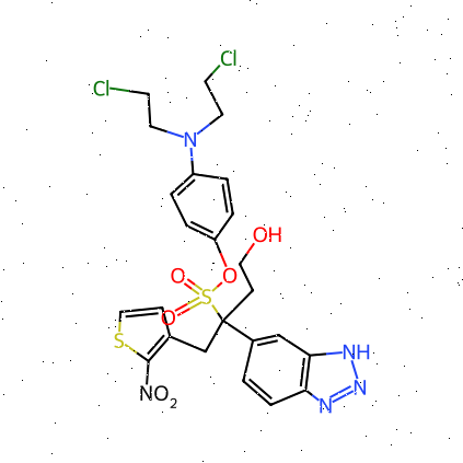 O=[N+]([O-])c1sccc1CC(CCO)(c1ccc2nn[nH]c2c1)S(=O)(=O)Oc1ccc(N(CCCl)CCCl)cc1